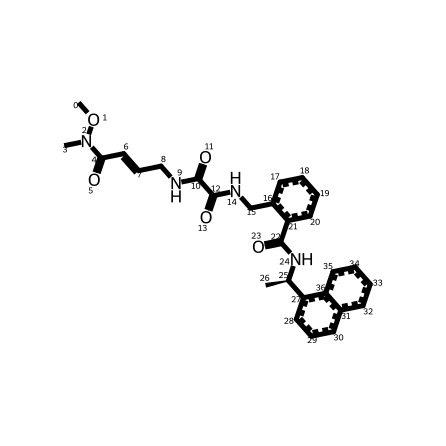 CON(C)C(=O)/C=C/CNC(=O)C(=O)NCc1ccccc1C(=O)N[C@H](C)c1cccc2ccccc12